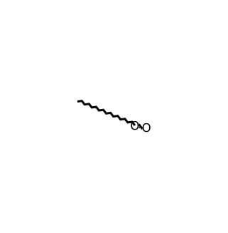 CCCCCCCCCCCCCCCCO[CH]C=O